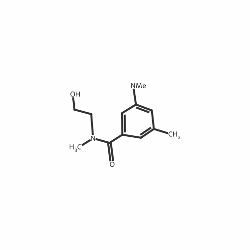 CNc1cc(C)cc(C(=O)N(C)CCO)c1